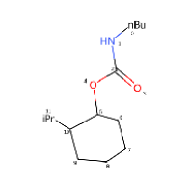 CCCCNC(=O)OC1CCCCC1C(C)C